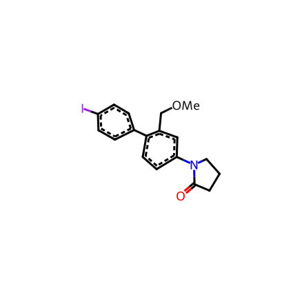 COCc1cc(N2CCCC2=O)ccc1-c1ccc(I)cc1